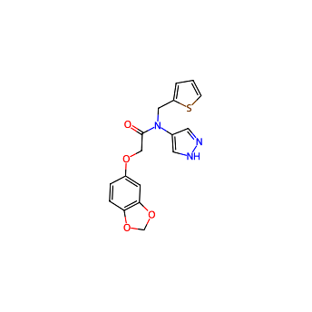 O=C(COc1ccc2c(c1)OCO2)N(Cc1cccs1)c1cn[nH]c1